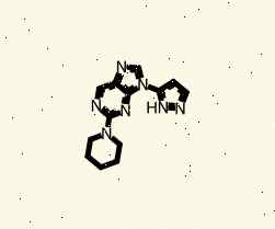 c1cc(-n2cnc3cnc(N4CCCCC4)nc32)[nH]n1